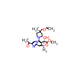 C=COCC1(C)CCN(c2c([C@H](O)C(=O)OC)c(C)cc3nc(C(C)=O)cn23)CC1